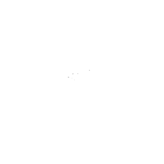 C1COCCO1.O=C(C=Cc1ccccc1)C=Cc1ccccc1.O=C(C=Cc1ccccc1)C=Cc1ccccc1.O=C(C=Cc1ccccc1)C=Cc1ccccc1